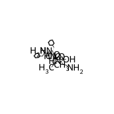 CC(C)C[C@@H](NC(=O)[C@@H](Cc1ccccc1)NC(=O)[C@H](N)Cc1ccccc1)C(=O)N[C@H](CCCN)C(=O)O